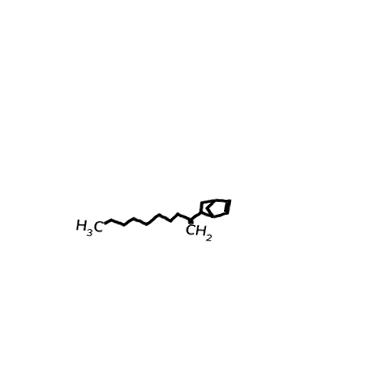 C=C(CCCCCCCC)C1CC2C=CC1C2